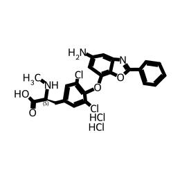 CN[C@@H](Cc1cc(Cl)c(Oc2cc(N)cc3nc(-c4ccccc4)oc23)c(Cl)c1)C(=O)O.Cl.Cl